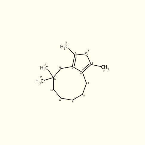 Cc1sc(C)c2c1CCCCCC(C)(C)C2